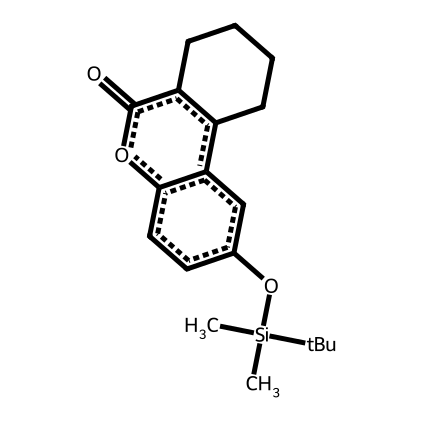 CC(C)(C)[Si](C)(C)Oc1ccc2oc(=O)c3c(c2c1)CCCC3